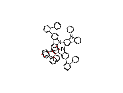 c1ccc(-c2ccccc2-c2ccc3c(c2)c2cc(-c4ccccc4-c4ccccc4)ccc2n3-c2cc3c4ccccc4n(-c4ccccc4)c3cc2-n2c3ccc(-c4ccccc4-c4ccccc4)cc3c3cc(-c4ccccc4-c4ccccc4)ccc32)cc1